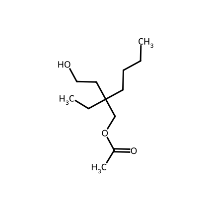 CCCCC(CC)(CCO)COC(C)=O